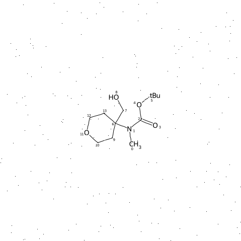 CN(C(=O)OC(C)(C)C)C1(CO)CCOCC1